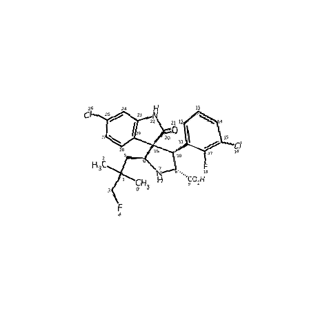 CC(C)(CF)C[C@@H]1N[C@@H](C(=O)O)[C@H](c2cccc(Cl)c2F)[C@]12C(=O)Nc1cc(Cl)ccc12